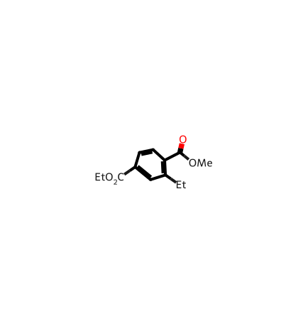 CCOC(=O)c1ccc(C(=O)OC)c(CC)c1